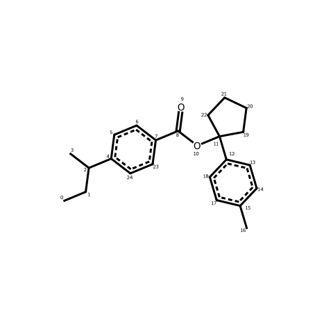 CCC(C)c1ccc(C(=O)OC2(c3ccc(C)cc3)CCCC2)cc1